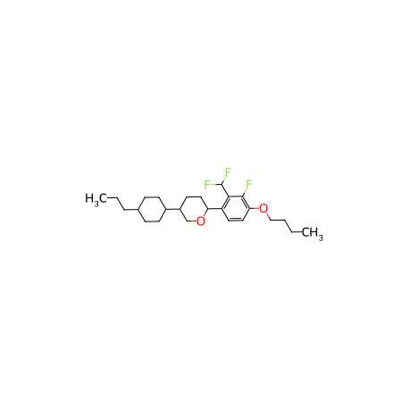 CCCCOc1ccc(C2CCC(C3CCC(CCC)CC3)CO2)c(C(F)F)c1F